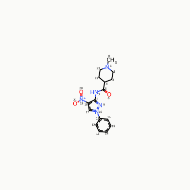 CN1CCC(C(=O)Nc2nn(-c3ccccc3)cc2[N+](=O)[O-])CC1